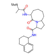 CNC(C)C(=O)NC1CCCCC2CCC(C(=O)NC3CCCc4ccccc43)N2C1=O